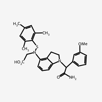 COc1cccc(C(C(N)=O)N2CCc3c(N(CC(=O)O)Sc4c(C)cc(C)cc4C)cccc32)c1